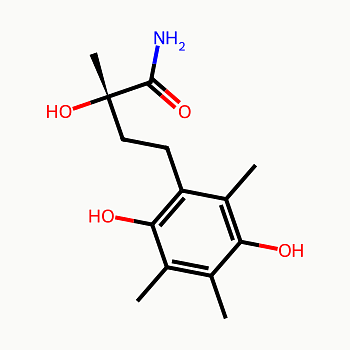 Cc1c(C)c(O)c(CC[C@](C)(O)C(N)=O)c(C)c1O